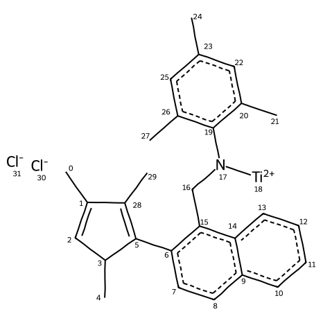 CC1=CC(C)C(c2ccc3ccccc3c2C[N]([Ti+2])c2c(C)cc(C)cc2C)=C1C.[Cl-].[Cl-]